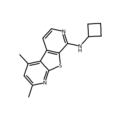 Cc1cc(C)c2c(n1)sc1c(NC3CCC3)nccc12